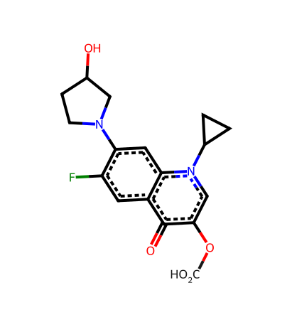 O=C(O)Oc1cn(C2CC2)c2cc(N3CCC(O)C3)c(F)cc2c1=O